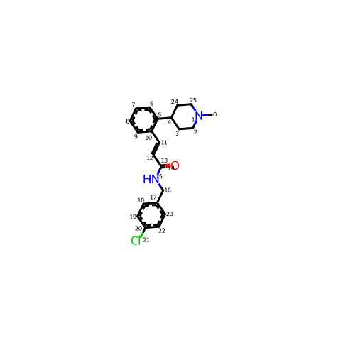 CN1CCC(c2ccccc2C=CC(=O)NCc2ccc(Cl)cc2)CC1